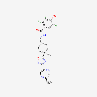 CCC1(c2nc(-c3cnc(OC)cn3)no2)CCC(CNC(=O)c2cc(F)c(O)c(F)c2F)CC1